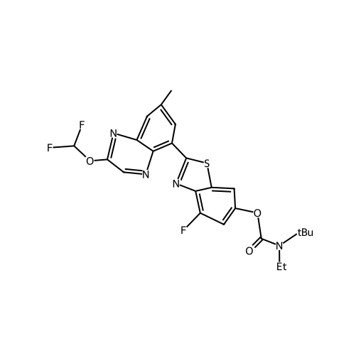 CCN(C(=O)Oc1cc(F)c2nc(-c3cc(C)cc4nc(OC(F)F)cnc34)sc2c1)C(C)(C)C